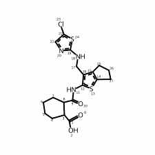 O=C(O)C1CCCCC1C(=O)Nc1sc2c(c1CNc1ncc(Cl)s1)CCC2